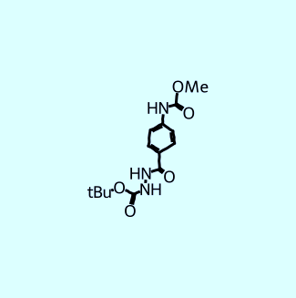 COC(=O)Nc1ccc(C(=O)NNC(=O)OC(C)(C)C)cc1